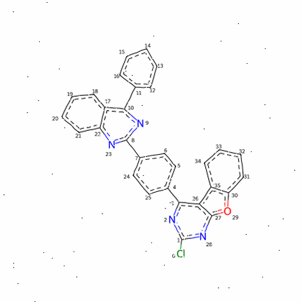 Clc1nc(-c2ccc(-c3nc(-c4ccccc4)c4ccccc4n3)cc2)c2c(n1)oc1ccccc12